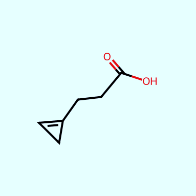 O=C(O)CCC1=CC1